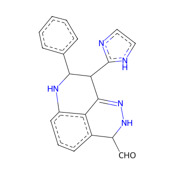 O=CC1NN=C2c3c(cccc31)NC(c1ccccc1)C2c1ncc[nH]1